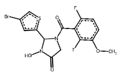 COc1ccc(F)c(C(=O)N2CC(=O)N(O)C2c2cc(Br)cs2)c1F